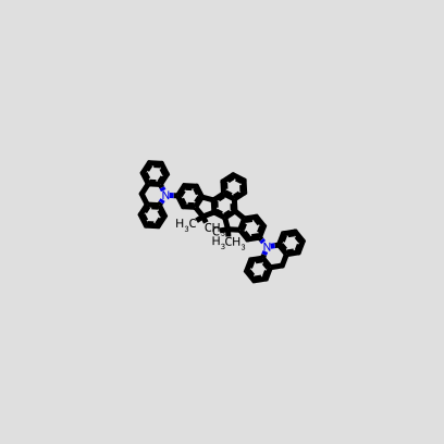 CC1(C)c2cc(N3c4ccccc4Cc4ccccc43)ccc2-c2c1c1c(c3ccccc23)-c2ccc(N3c4ccccc4Cc4ccccc43)cc2C1(C)C